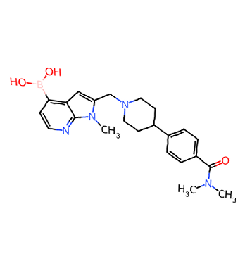 CN(C)C(=O)c1ccc(C2CCN(Cc3cc4c(B(O)O)ccnc4n3C)CC2)cc1